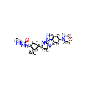 CC(C)NC(=O)Nc1ccc(-c2ccnc(Nc3ccc(N4CCOCC4)cc3)n2)cc1C#N